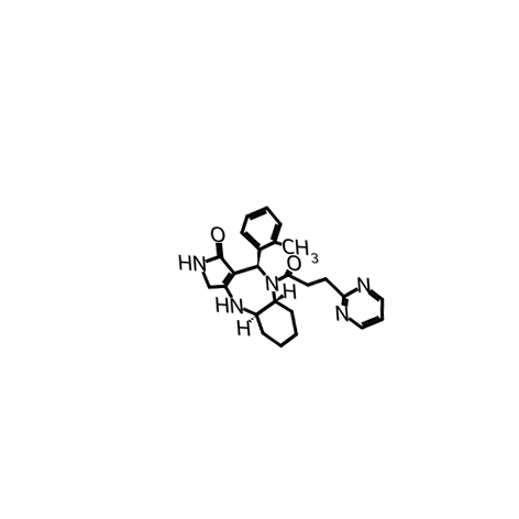 Cc1ccccc1[C@@H]1C2=C(CNC2=O)N[C@@H]2CCCC[C@H]2N1C(=O)CCc1ncccn1